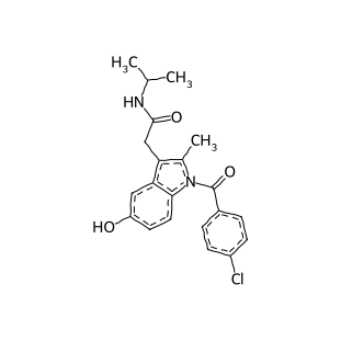 Cc1c(CC(=O)NC(C)C)c2cc(O)ccc2n1C(=O)c1ccc(Cl)cc1